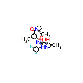 CC[C@H]1CCCN1C(=O)c1cc(C)cc(C(=O)N[C@@H](Cc2cc(F)cc(F)c2)[C@H](O)[C@H]2C[C@@H](C)CN2)c1